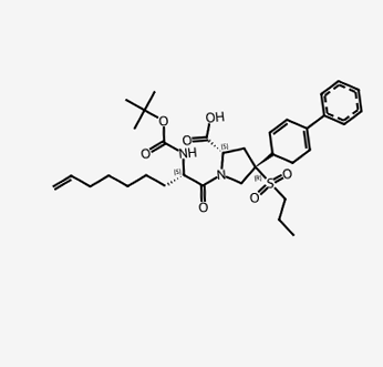 C=CCCCCC[C@H](NC(=O)OC(C)(C)C)C(=O)N1C[C@@](C2C=CC(c3ccccc3)=CC2)(S(=O)(=O)CCC)C[C@H]1C(=O)O